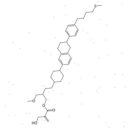 C=C(CO)C(=O)OCC(CCC1CCC(c2ccc3c(c2)CCC(c2ccc(CCCCSC)cc2)C3)CC1)COC